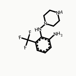 Nc1cccc(C(F)(F)F)c1NN1CCNCC1